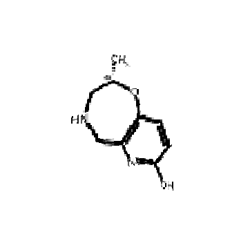 C[C@H]1CNCc2nc(O)ccc2O1